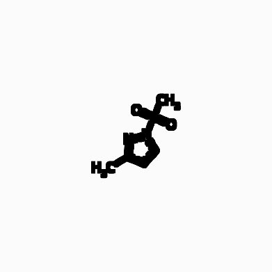 Cc1ccn(S(C)(=O)=O)n1